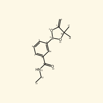 C=C1OB(c2cccc(C(=O)NCC)c2)OC1(C)C